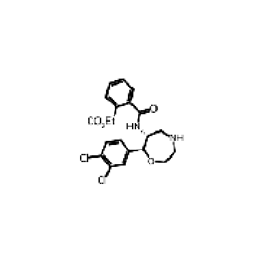 CCOC(=O)c1ccccc1C(=O)N[C@@H]1CNCCO[C@H]1c1ccc(Cl)c(Cl)c1